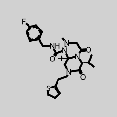 CC(C)[C@H]1C(=O)N(CCC2=CCCS2)C[C@H]2N1C(=O)CN(C)N2C(=O)NCc1ccc(F)cc1